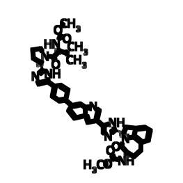 COC(=O)N[C@H]1CCc2cccc3c2N(C1=O)[C@H](c1ncc(-c2cnc4cc(-c5ccc(-c6cnc([C@@H]7CCCN7C(=O)[C@@H](NC(=O)OC)C(C)C)[nH]6)cc5)ccc4c2)[nH]1)C3